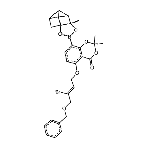 CC1(C)OC(=O)c2c(OC/C=C(\Br)COCc3ccccc3)ccc(B3OC45CC6CC(C64C)[C@]5(C)O3)c2O1